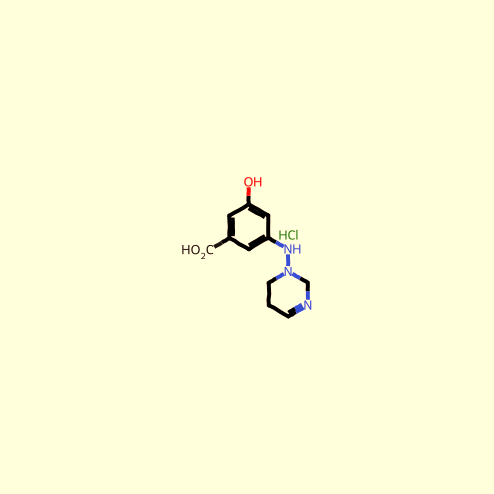 Cl.O=C(O)c1cc(O)cc(NN2CCC=NC2)c1